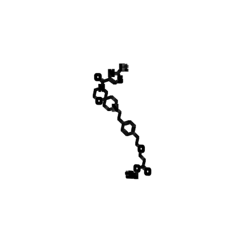 CCc1nc(C(=O)N2CCOC3(CCN(CCc4ccc(CCOCCC(=O)OC(C)(C)C)cc4)CC3)C2)cs1